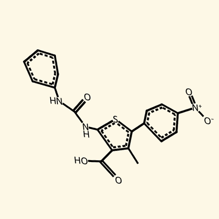 Cc1c(-c2ccc([N+](=O)[O-])cc2)sc(NC(=O)Nc2ccccc2)c1C(=O)O